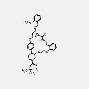 COc1ccccc1COCCCOc1ccc(C2CCN(C(=O)OC(C)(C)C)CC2OCCOc2ccccc2CCNC(=O)C2CC2)cc1